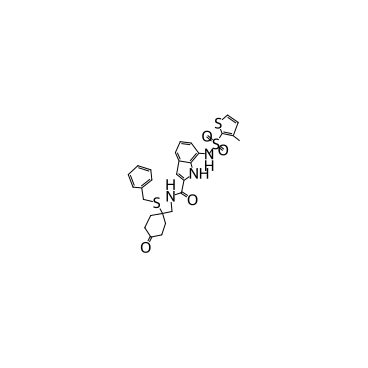 Cc1ccsc1S(=O)(=O)Nc1cccc2cc(C(=O)NCC3(SCc4ccccc4)CCC(=O)CC3)[nH]c12